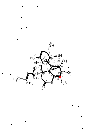 CC(C)=CC(=O)O[C@@H]1[C@H]2C(C)=C[C@H](O)[C@@H](O)[C@]2(C)[C@H]2[C@@]3(O)OC[C@@]24[C@@H]1OC(=O)C[C@H]4[C@@H](C)[C@H]3O